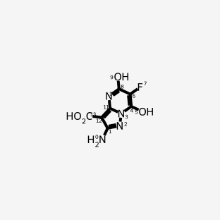 Nc1nn2c(O)c(F)c(O)nc2c1C(=O)O